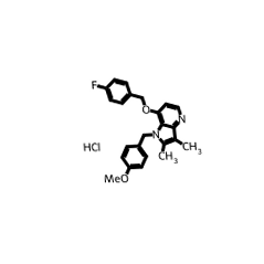 COc1ccc(Cn2c(C)c(C)c3nccc(OCc4ccc(F)cc4)c32)cc1.Cl